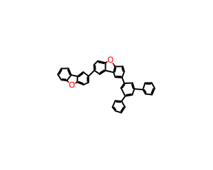 c1ccc(-c2cc(-c3ccccc3)cc(-c3ccc4oc5ccc(-c6ccc7oc8ccccc8c7c6)cc5c4c3)c2)cc1